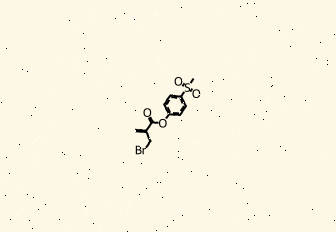 C=C(CBr)C(=O)Oc1ccc(S(C)(=O)=O)cc1